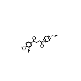 C=CCN1CCN(C(=O)CCC(=O)c2ccc(OC)c(F)c2)CC1